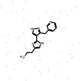 CCCc1c[nH]c(-c2c[nH]nc2Cc2cccnc2)n1